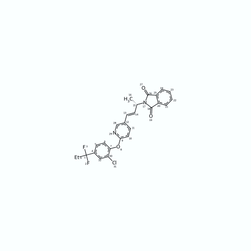 CCC(F)(F)c1ccc(Oc2ccc(/C=C/[C@H](C)N3C(=O)c4ccccc4C3=O)cn2)c(Cl)c1